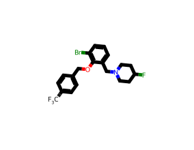 FC1CCN(Cc2cccc(Br)c2OCc2ccc(C(F)(F)F)cc2)CC1